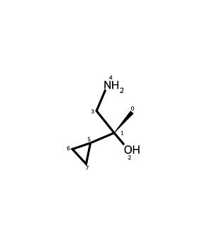 C[C@](O)(CN)C1CC1